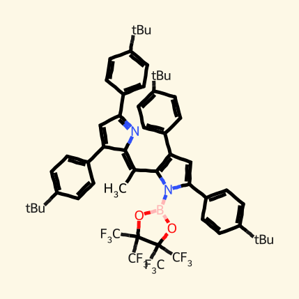 C/C(=C1/N=C(c2ccc(C(C)(C)C)cc2)C=C1c1ccc(C(C)(C)C)cc1)c1c(-c2ccc(C(C)(C)C)cc2)cc(-c2ccc(C(C)(C)C)cc2)n1B1OC(C(F)(F)F)(C(F)(F)F)C(C(F)(F)F)(C(F)(F)F)O1